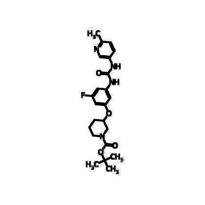 Cc1ccc(NC(=O)Nc2cc(F)cc(OC3CCCN(C(=O)OC(C)(C)C)C3)c2)cn1